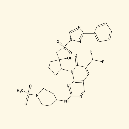 CS(=O)(=O)N1CCC(Nc2ncc3cc(C(F)F)c(=O)n(C4CCCC4(O)CS(=O)(=O)n4cnc(-c5ccccc5)n4)c3n2)CC1